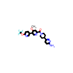 COc1cc(C(=O)N2CCC(c3ccc(N)nn3)CC2)ncc1-c1ccc(OC(F)(F)F)nc1